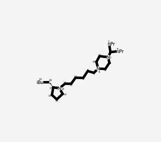 CCCC(CCC)N1CCN(CCCCCCN2CCC[C@@H]2CC(C)CC)CC1